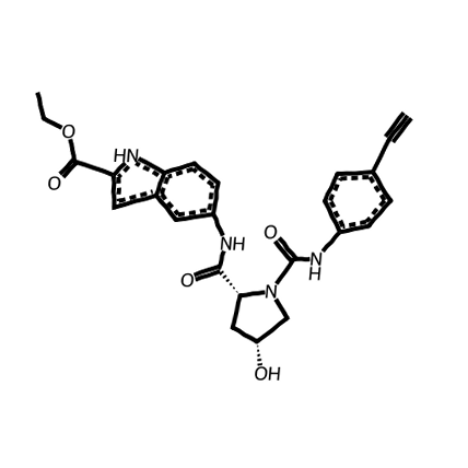 C#Cc1ccc(NC(=O)N2C[C@H](O)C[C@@H]2C(=O)Nc2ccc3[nH]c(C(=O)OCC)cc3c2)cc1